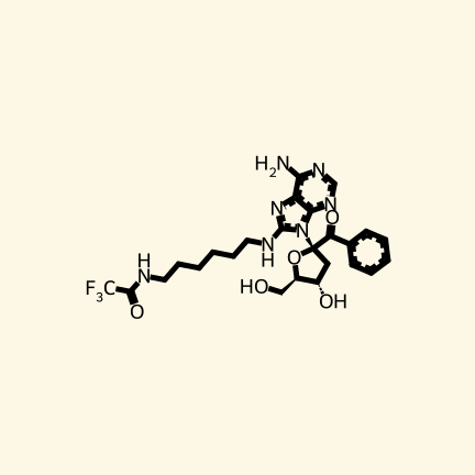 Nc1ncnc2c1nc(NCCCCCCNC(=O)C(F)(F)F)n2[C@@]1(C(=O)c2ccccc2)C[C@H](O)[C@@H](CO)O1